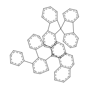 c1ccc(-c2ccccc2-c2c(-c3ccccc3)cccc2N(c2ccc3c(c2)C2(c4ccccc4-c4ccccc42)c2ccccc2-3)c2cccc3ccccc23)cc1